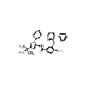 Cc1ccc(C(=O)Nc2cc(C(C)(C)C)nn2-c2ccccc2)cc1Oc1ncccc1-c1ccncn1